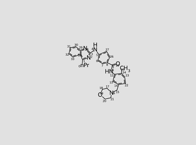 CCCc1nc(Nc2ccc(C(=O)Nc3cc(CN4CCOCC4)ccc3C)cc2)nc2ccccc12